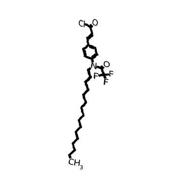 CCCCCCCCCCCCCCCCN(C(=O)C(F)(F)F)c1ccc(C=CC(=O)Cl)cc1